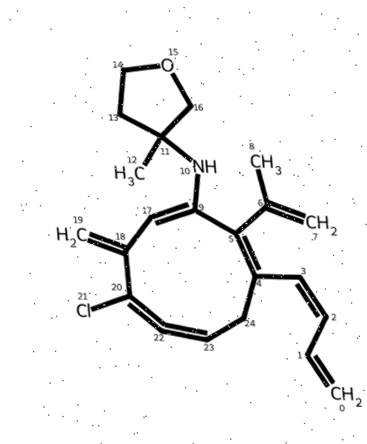 C=C\C=C/C1=C(C(=C)C)/C(NC2(C)CCOC2)=C\C(=C)C(Cl)=C=CC1